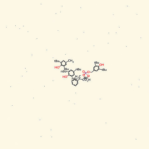 CC(C(=O)O)c1ccccc1.CCCCc1cc(CCCC)c(O)c(CCCC)c1.CCOP(=O)(OCC)OCc1cc(C(C)(C)C)c(O)c(C(C)(C)C)c1.Cc1cc(C(C)(C)C)c(O)c(C(C)(C)C)c1